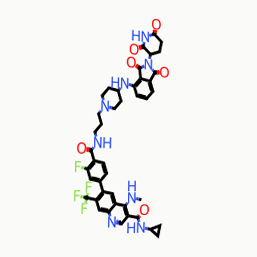 CNc1c(C(=O)NC2CC2)cnc2cc(C(F)(F)F)c(-c3ccc(C(=O)NCCCN4CCC(Nc5cccc6c5C(=O)N(C5CCC(=O)NC5=O)C6=O)CC4)c(F)c3)cc12